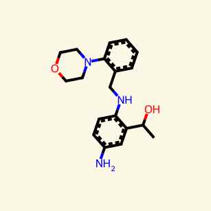 CC(O)c1cc(N)ccc1NCc1ccccc1N1CCOCC1